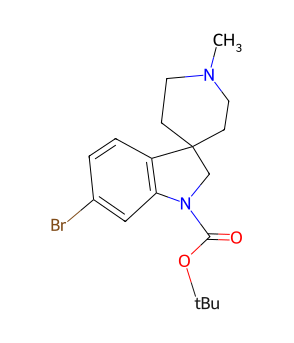 CN1CCC2(CC1)CN(C(=O)OC(C)(C)C)c1cc(Br)ccc12